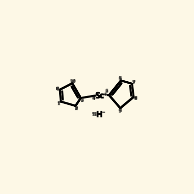 C1=CC[C]([Sc+][C]2=CC=CC2)=C1.[H-]